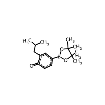 CC(C)Cn1cc(B2OC(C)(C)C(C)(C)O2)ccc1=O